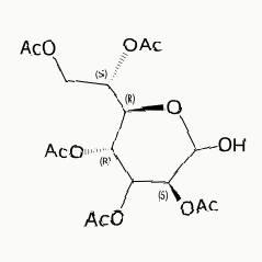 CC(=O)OC[C@H](OC(C)=O)[C@H]1OC(O)[C@@H](OC(C)=O)C(OC(C)=O)[C@@H]1OC(C)=O